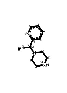 CC(C)[C@@H](c1ccccn1)N1CCNCC1